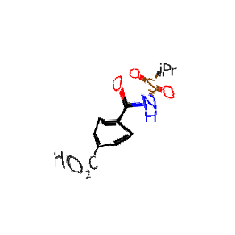 CC(C)S(=O)(=O)NC(=O)c1ccc(C(=O)O)cc1